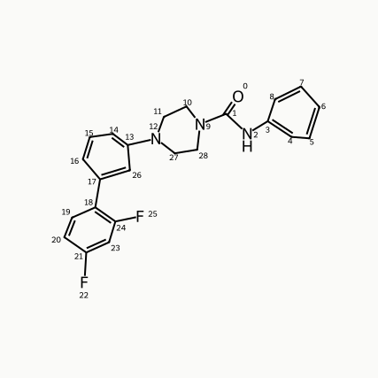 O=C(Nc1ccccc1)N1CCN(c2cccc(-c3ccc(F)cc3F)c2)CC1